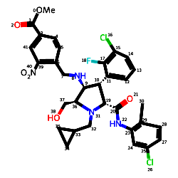 COC(=O)c1ccc(CN[C@H]2[C@H](c3cccc(Cl)c3F)[C@H](C(=O)Nc3cc(Cl)ccc3C)N(CC3CC3)[C@H]2CO)c([N+](=O)[O-])c1